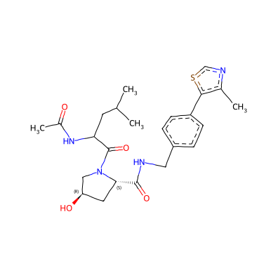 CC(=O)NC(CC(C)C)C(=O)N1C[C@H](O)C[C@H]1C(=O)NCc1ccc(-c2scnc2C)cc1